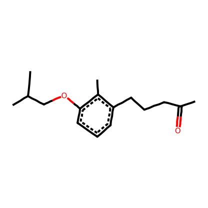 CC(=O)CCCc1cccc(OCC(C)C)c1C